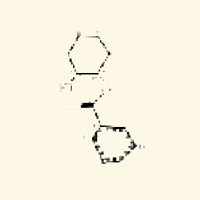 O=C(N[C@H]1CCCC[C@@H]1O)c1ccccc1